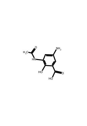 CC(=O)Nc1cc(N)cc(C(=O)O)c1O